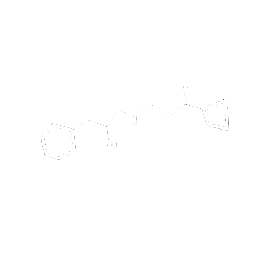 O=C(CCNCC(O)Cc1ccccc1)c1cccs1